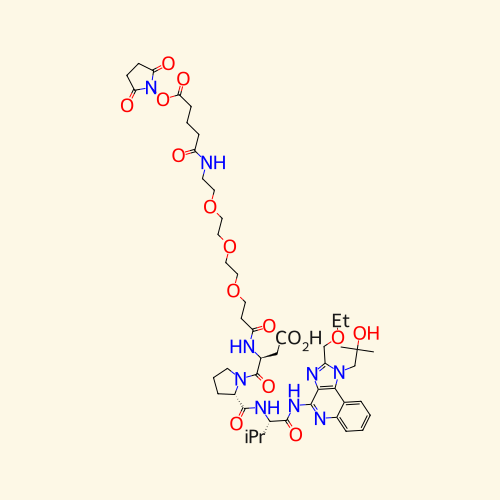 CCOCc1nc2c(NC(=O)[C@@H](NC(=O)[C@@H]3CCCN3C(=O)[C@H](CC(=O)O)NC(=O)CCOCCOCCOCCNC(=O)CCCC(=O)ON3C(=O)CCC3=O)C(C)C)nc3ccccc3c2n1CC(C)(C)O